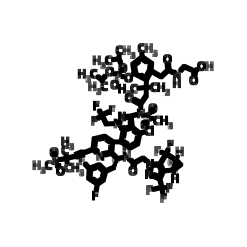 Cc1cc(CC(=O)NCC(=O)O)c(C(C)(C)CC(=O)N(c2nn(CC(F)(F)F)c3c(-c4ccc(C#CC(C)(C)S(C)(=O)=O)nc4[C@H](Cc4cc(F)cc(F)c4)NC(=O)Cn4nc(C(F)(F)F)c5c4C(F)(F)[C@@H]4C[C@H]54)ccc(Cl)c23)S(C)(=O)=O)c(OP(=O)(OC(C)C)OC(C)C)c1